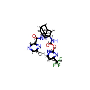 Cc1cncc(C(=O)NC23CC4CC(CC(NC(=O)Oc5nccc(C(F)(F)F)n5)(C4)C2)C3)n1